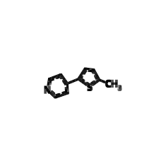 Cc1ccc(-c2ccncc2)s1